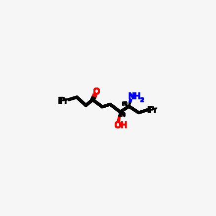 CC(C)CCC(=O)CC[C@H](O)[C@@H](N)CC(C)C